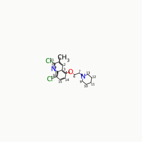 Cc1cc2c(OCCN3CCCCC3)ccc(Cl)c2nc1Cl